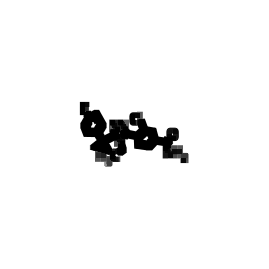 CCn1c(-c2ccc(C(N)=O)cc2Cl)nnc1C1(c2ccc(F)cc2)CC1